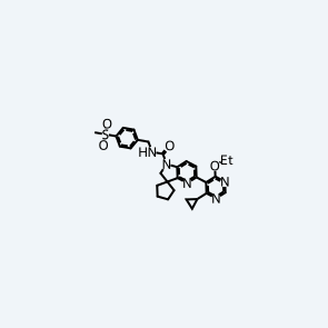 CCOc1ncnc(C2CC2)c1-c1ccc2c(n1)C1(CCCC1)CN2C(=O)NCc1ccc(S(C)(=O)=O)cc1